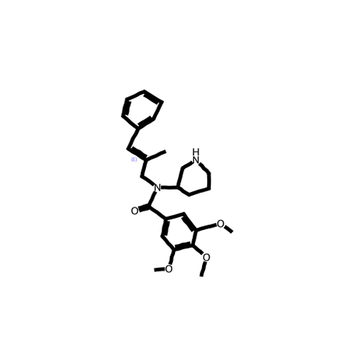 COc1cc(C(=O)N(C/C(C)=C/c2ccccc2)C2CCCNC2)cc(OC)c1OC